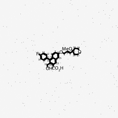 COC1(/C=C/COc2ccc3c(-c4ccc(F)cc4)c(CO)c(C(=O)O)cc3c2)CCOCC1